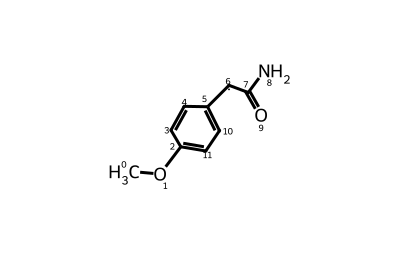 COc1ccc([CH]C(N)=O)cc1